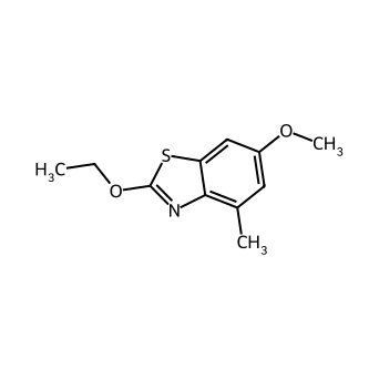 CCOc1nc2c(C)cc(OC)cc2s1